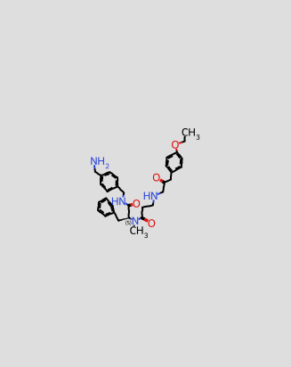 CCOc1ccc(CC(=O)CNCCC(=O)N(C)[C@@H](Cc2ccccc2)C(=O)NCc2ccc(CN)cc2)cc1